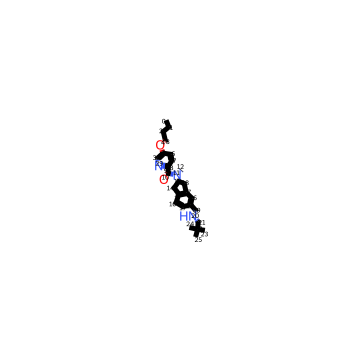 CCCCOc1ccc(C(=O)N(C)[C@@H]2Cc3ccc(CNCC(C)(C)C)cc3C2)nc1